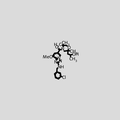 COc1cc(C(=O)N2CC(C)(CC(C)O)OCC2(C)C)cn2nc(NCc3cccc(Cl)c3)nc12